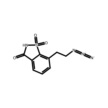 [N-]=[N+]=NCCc1cccc2c1S(=O)(=O)NC2=O